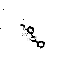 CCOc1cccc(-c2nc(-c3ccccc3)c[nH]2)c1O